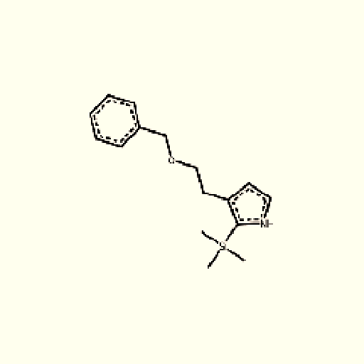 C[Si](C)(C)c1[nH]ccc1CCOCc1ccccc1